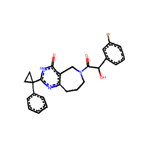 O=C(C(O)c1cccc(Br)c1)N1CCCc2nc(C3(c4ccccc4)CC3)[nH]c(=O)c2C1